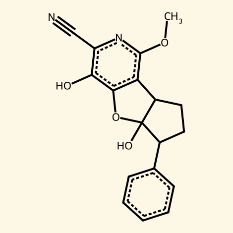 COc1nc(C#N)c(O)c2c1C1CCC(c3ccccc3)C1(O)O2